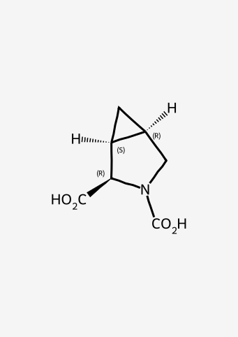 O=C(O)[C@H]1[C@H]2C[C@H]2CN1C(=O)O